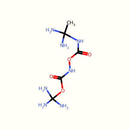 CC(N)(N)NC(=O)ONC(=O)OC(N)(N)N